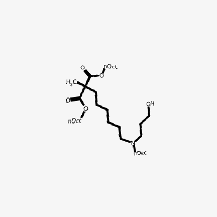 CCCCCCCCCCN(CCCO)CCCCCCC(C)(C(=O)OCCCCCCCC)C(=O)OCCCCCCCC